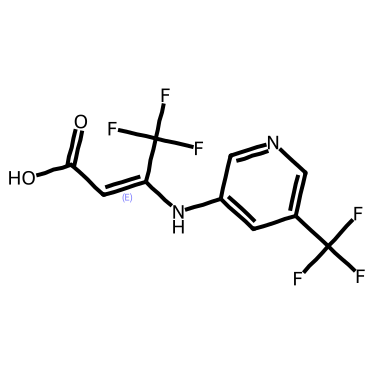 O=C(O)/C=C(/Nc1cncc(C(F)(F)F)c1)C(F)(F)F